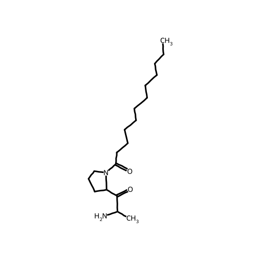 CCCCCCCCCCCC(=O)N1CCCC1C(=O)C(C)N